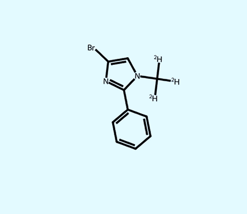 [2H]C([2H])([2H])n1cc(Br)nc1-c1ccccc1